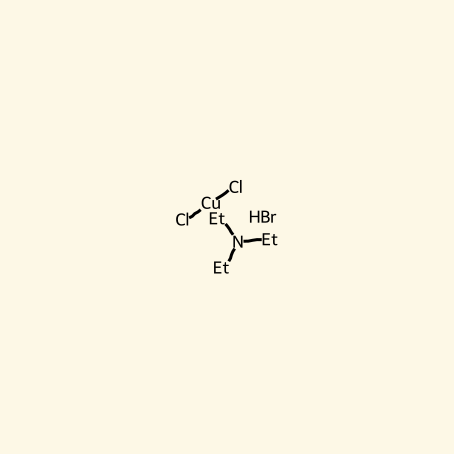 Br.CCN(CC)CC.[Cl][Cu][Cl]